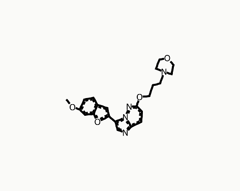 COc1ccc2cc(-c3cnc4ccc(OCCCN5CCOCC5)nn34)oc2c1